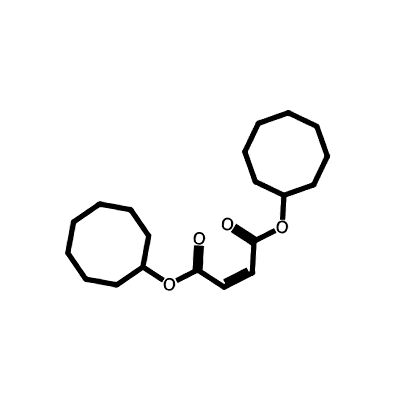 O=C(/C=C\C(=O)OC1CCCCCCC1)OC1CCCCCCC1